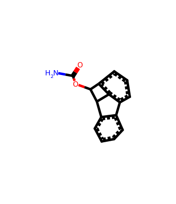 NC(=O)OC1c2cccc3c2C1c1ccccc1-3